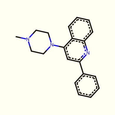 CN1CCN(c2cc(-c3ccccc3)nc3ccccc23)CC1